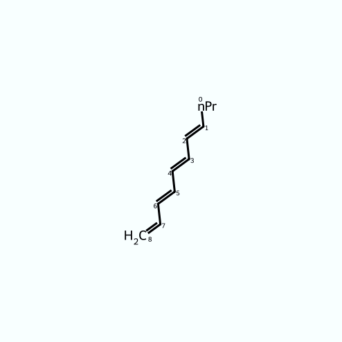 [CH2]CCC=CC=CC=CC=C